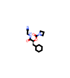 N#CCNC(=O)[C@H](CC1CCCCC1)OC(=O)N1CCC1